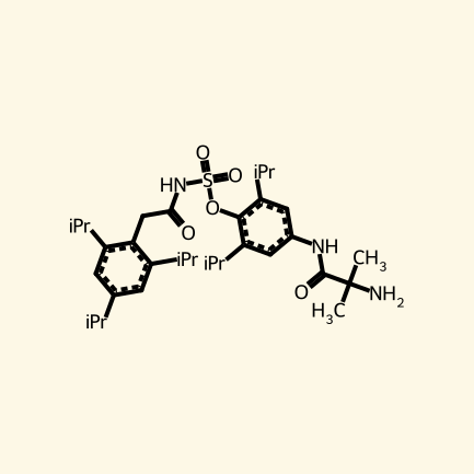 CC(C)c1cc(C(C)C)c(CC(=O)NS(=O)(=O)Oc2c(C(C)C)cc(NC(=O)C(C)(C)N)cc2C(C)C)c(C(C)C)c1